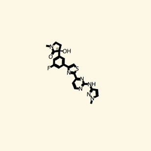 CN1CC[C@](O)(c2cc(F)cc(-c3csc(-c4ccnc(Nc5ccn(C)n5)n4)n3)c2)C1=O